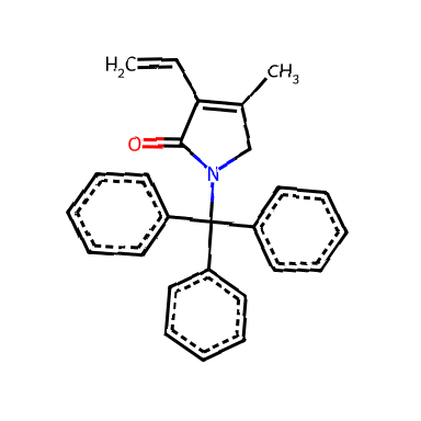 C=CC1=C(C)CN(C(c2ccccc2)(c2ccccc2)c2ccccc2)C1=O